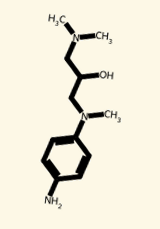 CN(C)CC(O)CN(C)c1ccc(N)cc1